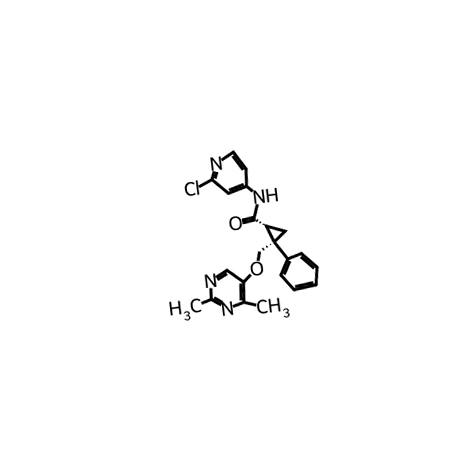 Cc1ncc(OC[C@@]2(c3ccccc3)C[C@H]2C(=O)Nc2ccnc(Cl)c2)c(C)n1